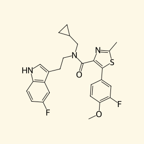 COc1ccc(-c2sc(C)nc2C(=O)N(CCc2c[nH]c3ccc(F)cc23)CC2CC2)cc1F